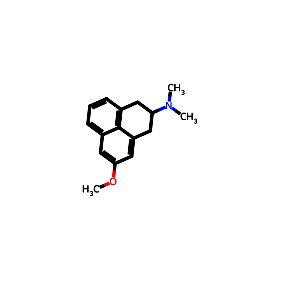 COc1cc2c3c(cccc3c1)CC(N(C)C)C2